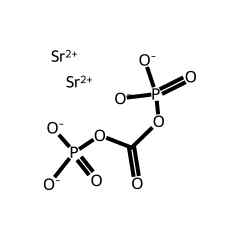 O=C(OP(=O)([O-])[O-])OP(=O)([O-])[O-].[Sr+2].[Sr+2]